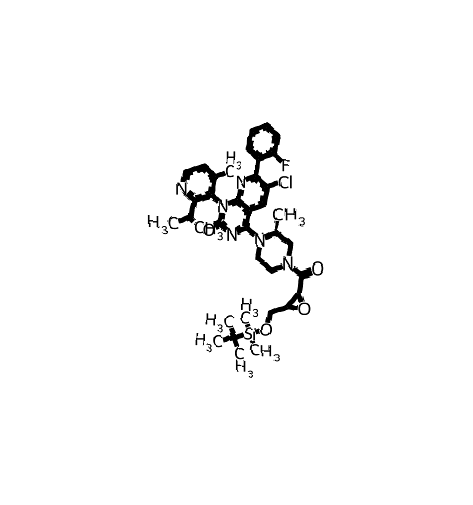 Cc1ccnc(C(C)C)c1-n1c(=O)nc(N2CCN(C(=O)C3OC3CO[Si](C)(C)C(C)(C)C)C[C@@H]2C)c2cc(Cl)c(-c3ccccc3F)nc21